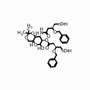 CCCCCCCCCCC[C@H](CC(=O)N[C@H]1[C@@H]2OC(C)(C)OC[C@H]2OC(O)[C@@H]1OC(=O)C[C@@H](CCCCCCCCCCC)OCc1ccccc1)OCc1ccccc1